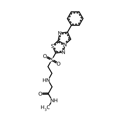 CNC(=O)CNCCS(=O)(=O)c1nn2cc(-c3ccccc3)nc2s1